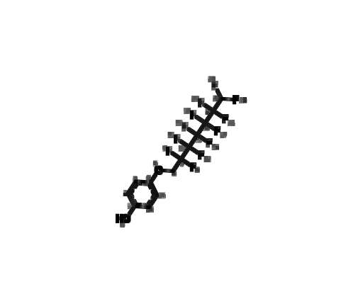 Oc1ccc(OCC(F)(F)C(F)(F)C(F)(F)C(F)(F)C(F)(F)C(F)F)cc1